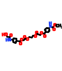 COC(=O)Nc1ccc(C(=O)OCC(=O)OCCCOC(=O)COC(=O)c2ccc(NC(=O)CO)cc2)cc1